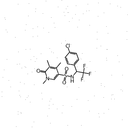 Cc1c(S(=O)(=O)NC(c2ccc(Cl)cc2)C(F)(F)F)cn(C)c(=O)c1C